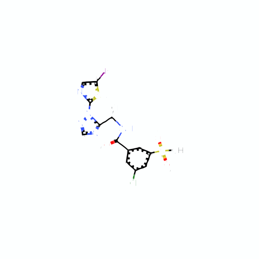 C[C@H](NC(=O)c1cc(Cl)cc(S(C)(=O)=O)c1)c1ncnn1-c1ncc(I)s1